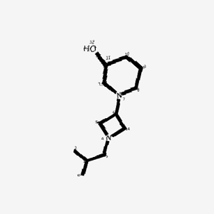 CC(C)CN1CC(N2CCCC(O)C2)C1